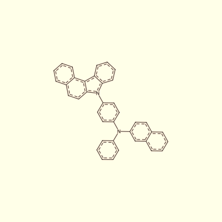 c1ccc(N(c2ccc(-n3c4ccccc4c4c5ccccc5ccc43)cc2)c2ccc3ccccc3c2)cc1